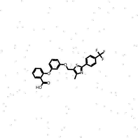 Cc1nc(-c2ccc(C(F)(F)F)cc2)sc1COc1cccc(Oc2ccccc2C(=O)O)c1